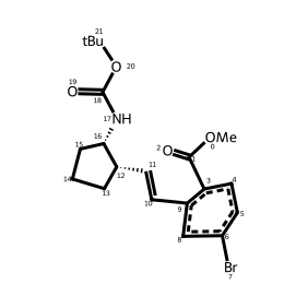 COC(=O)c1ccc(Br)cc1C=C[C@@H]1CCC[C@@H]1NC(=O)OC(C)(C)C